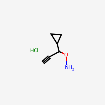 C#CC(ON)C1CC1.Cl